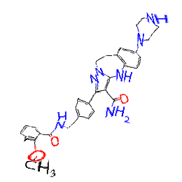 COc1ccccc1C(=O)NCc1ccc(-c2nn3c(c2C(N)=O)Nc2ccc(N4CCNCC4)cc2CC3)cc1